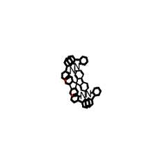 C1=CC(n2c3ccccc3c3ccccc32)(n2c3ccccc3c3ccccc32)C=C2C1=C1C=CC(n3c4ccccc4c4ccccc43)(n3c4ccccc4c4ccccc43)C=C1C21c2ccccc2-c2ccccc21